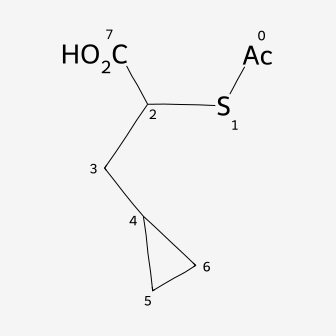 CC(=O)SC(CC1CC1)C(=O)O